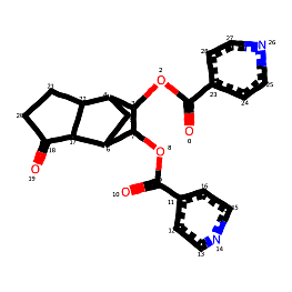 O=C(OC1C2CC(C1OC(=O)c1ccncc1)C1C(=O)CCC21)c1ccncc1